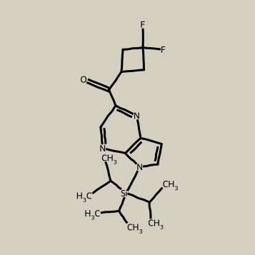 CC(C)[Si](C(C)C)(C(C)C)n1ccc2nc(C(=O)C3CC(F)(F)C3)cnc21